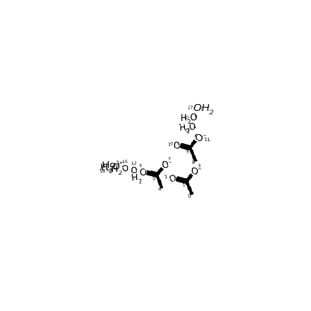 CC(=O)[O-].CC(=O)[O-].CC(=O)[O-].O.O.O.O.O.O.[Ho+3]